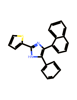 c1ccc(-c2[nH]c(-c3cccs3)nc2-c2cccc3ccccc23)cc1